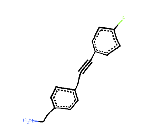 NCc1ccc(C#Cc2ccc(F)cc2)cc1